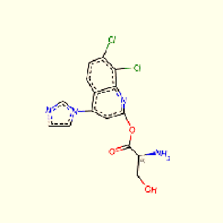 N[C@@H](CO)C(=O)Oc1cc(-n2ccnc2)c2ccc(Cl)c(Cl)c2n1